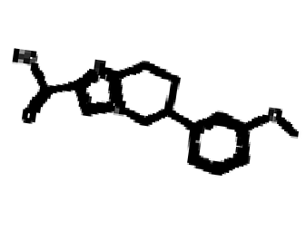 COc1cccc(C2CCc3nc(C(=O)O)cn3C2)c1